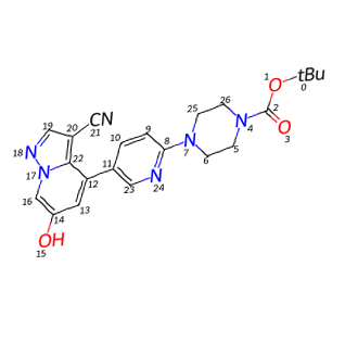 CC(C)(C)OC(=O)N1CCN(c2ccc(-c3cc(O)cn4ncc(C#N)c34)cn2)CC1